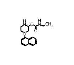 CCNC(=O)OC1CN(c2cccc3ccccc23)CCN1